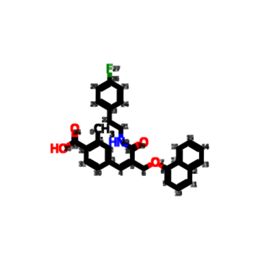 Cc1cc(C=C(COc2cccc3ccccc23)C(=O)NCCc2ccc(F)cc2)ccc1C(=O)O